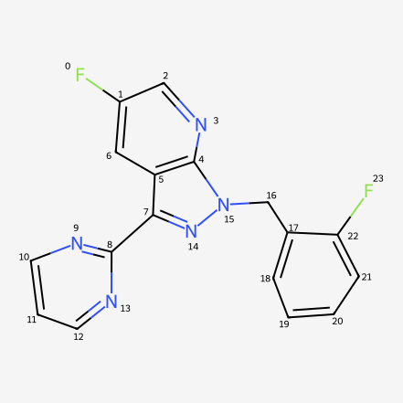 Fc1cnc2c(c1)c(-c1ncccn1)nn2Cc1ccccc1F